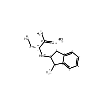 CC1c2ccccc2CC1N[C@H](CO)C(N)=O.Cl